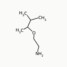 CC(C)C(C)OCCN